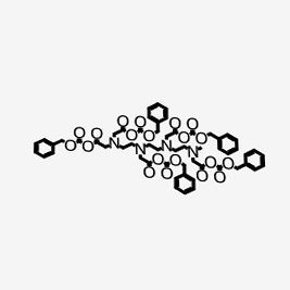 CN(CCN(CCN(CCN(CC(=O)OC(=O)OCc1ccccc1)CC(=O)OC(=O)OCc1ccccc1)CC(=O)OC(=O)OCc1ccccc1)CC(=O)OC(=O)OCc1ccccc1)CC(=O)OC(=O)OCc1ccccc1